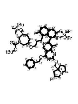 CC(C)[Si](Oc1cc(-c2ncc3c(OCc4ccccc4)nc(OC[C@@]45CCCN4C[C@H](F)C5)nc3c2F)c2c(CCCO[C@@H]3CC[C@H](O[Si](C)(C)C(C)(C)C)CN(C(=O)OC(C)(C)C)C3)c(F)ccc2c1)(C(C)C)C(C)C